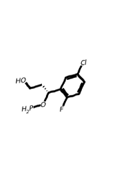 OCC[C@@H](OP)c1cc(Cl)ccc1F